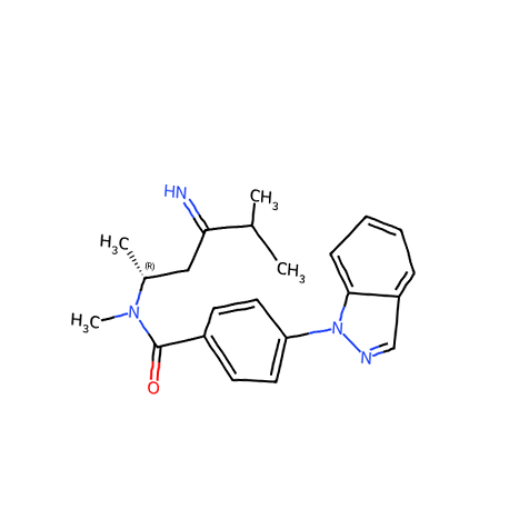 CC(C)C(=N)C[C@@H](C)N(C)C(=O)c1ccc(-n2ncc3ccccc32)cc1